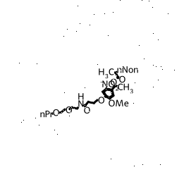 CCCCCCCCCC(C)C(=O)OC(C)c1cc(OC)c(OCCCC(=O)NCCOCCOCCC)cc1[N+](=O)[O-]